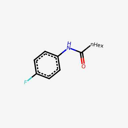 CCCCCCC(=O)Nc1ccc(F)cc1